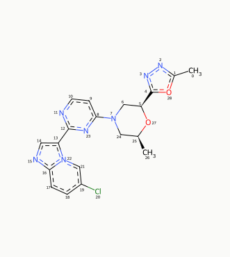 Cc1nnc([C@@H]2CN(c3ccnc(-c4cnc5ccc(Cl)cn45)n3)C[C@H](C)O2)o1